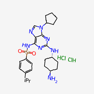 CC(C)c1ccc(S(=O)(=O)Nc2nc(N[C@H]3CC[C@H](N)CC3)nc3c2ncn3C2CCCC2)cc1.Cl.Cl